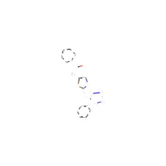 O=C(Nc1cnc(SC2(c3ccccc3)N=NN=N2)s1)c1ccccc1